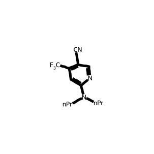 CCCN(CCC)c1cc(C(F)(F)F)c(C#N)cn1